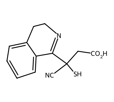 N#CC(S)(CC(=O)O)C1=NCCc2ccccc21